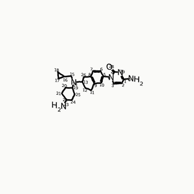 Nc1ccn(-c2ccc3c(c2)CCC(N(CC2CC2)C2CCC(N)CC2)C3)c(=O)n1